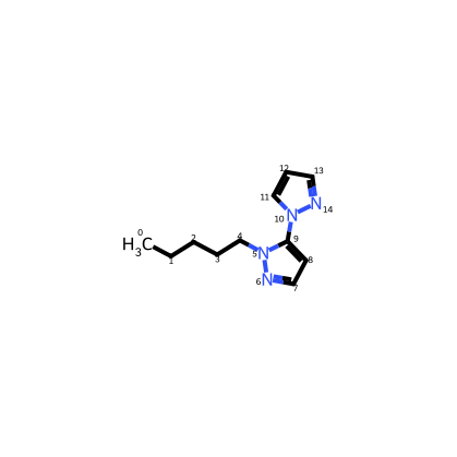 CCCCCn1nccc1-n1cccn1